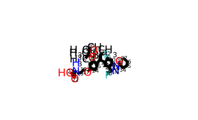 CCC(B1OC(C)(C)C(C)(C)O1)=C(c1ccc(OCCNC(=O)O)cc1)c1cc2c(F)nn(C3CCCCO3)c2cc1F